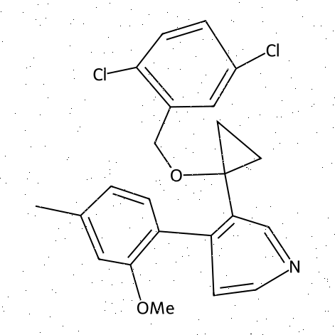 COc1cc(C)ccc1-c1ccncc1C1(OCc2cc(Cl)ccc2Cl)CC1